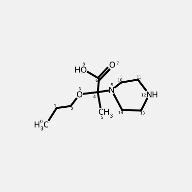 CCCOC(C)(C(=O)O)N1CCNCC1